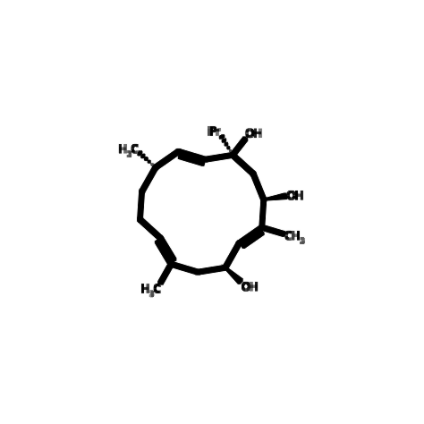 C/C1=C\CC[C@H](C)/C=C/[C@](O)(C(C)C)C[C@@H](O)/C(C)=C/[C@@H](O)C1